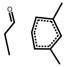 CCC=O.Cc1cccc(C)c1